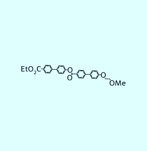 CCOC(=O)c1ccc(-c2ccc(OC(=O)c3ccc(-c4ccc(OCCOC)cc4)cc3)cc2)cc1